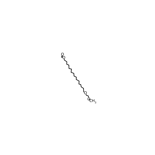 COCCOCCCCCCCCCCCCCCCCCOC=O